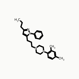 CCCc1cc(CCCN2CCN(c3ccc(C)cc3C)CC2)n(-c2ccccc2)n1